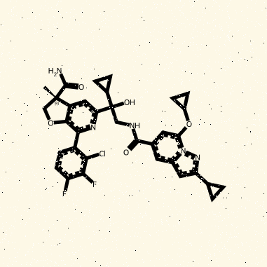 C[C@]1(C(N)=O)COc2c1cc(C(O)(CNC(=O)c1cc(OC3CC3)n3nc(C4CC4)cc3c1)C1CC1)nc2-c1ccc(F)c(F)c1Cl